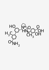 Cc1cc(C(N)=O)ccc1-c1cc(O)cc(CN2CCC[C@@H]2C(=O)N[C@@H](C)c2ccc(C(=O)O)c(O)c2)c1